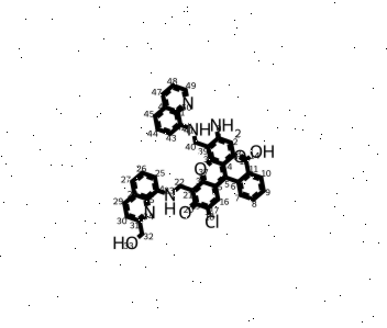 Nc1ccc2c(-c3ccccc3C(=O)O)c3cc(Cl)c(=O)c(CNc4cccc5ccc(CO)nc45)c-3oc2c1CNc1cccc2cccnc12